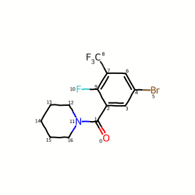 O=C(c1cc(Br)cc(C(F)(F)F)c1F)N1CCCCC1